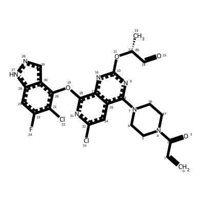 C=CC(=O)N1CCN(c2nc(O[C@H](C)C=O)nc3c(Oc4c(Cl)c(F)cc5[nH]ncc45)nc(Cl)cc23)CC1